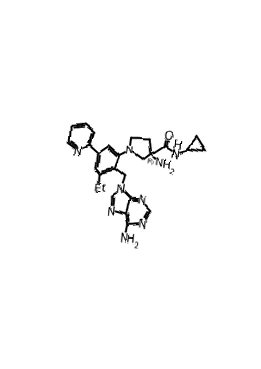 CCc1cc(-c2ccccn2)cc(N2CC[C@](N)(C(=O)NC3CC3)C2)c1Cn1cnc2c(N)ncnc21